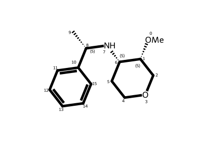 CO[C@@H]1COCC[C@@H]1N[C@@H](C)c1ccccc1